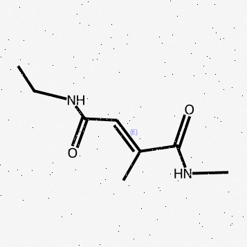 CCNC(=O)/C=C(\C)C(=O)NC